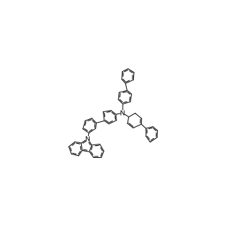 C1=CC(N(c2ccc(-c3ccccc3)cc2)c2ccc(-c3cccc(-n4c5ccccc5c5ccccc54)c3)cc2)CC=C1c1ccccc1